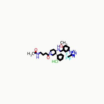 COc1ccc(-n2nnnc2C(F)(F)F)cc1CN[C@H]1CCN(C(=O)CCCNC(C)=O)C[C@H]1c1ccccc1.Cl